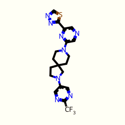 FC(F)(F)c1ncc(N2CCC3(CCN(c4cncc(-c5nncs5)n4)CC3)C2)cn1